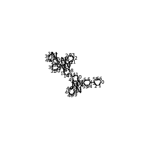 c1ccc(-c2ccc(-n3c4ccc(-c5ccc6c(c5)n5c7ccccc7nc5n6-c5cccc6c5sc5ncccc56)cc4n4c5ccccc5nc34)cc2)cc1